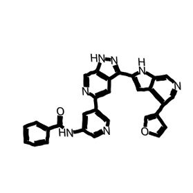 O=C(Nc1cncc(-c2cc3c(-c4cc5c(-c6ccoc6)cncc5[nH]4)n[nH]c3cn2)c1)c1ccccc1